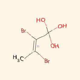 C/C(Br)=C(\Br)C(O)(O)O